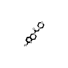 CC(C)c1ccc2c(n1)CCN(C(=O)CN1CCOCC1)C2